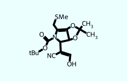 CSCC1=C2OC(C)(C)OC2C(C(C#N)=CO)N1C(=O)OC(C)(C)C